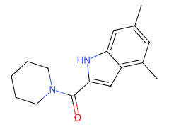 Cc1cc(C)c2cc(C(=O)N3CCCCC3)[nH]c2c1